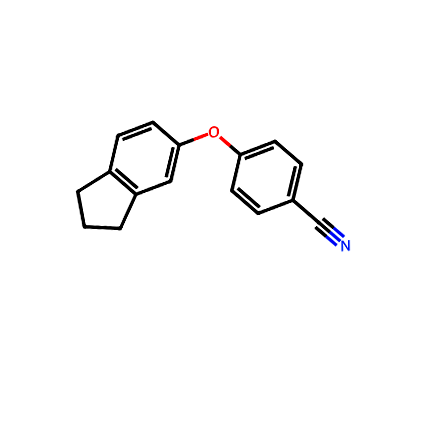 N#Cc1ccc(Oc2ccc3c(c2)CCC3)cc1